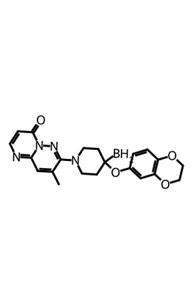 BC1(Oc2ccc3c(c2)OCCO3)CCN(c2nn3c(=O)ccnc3cc2C)CC1